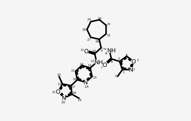 Cc1nocc1C(=O)N[C@H](C(=O)Nc1ccc(-c2c(C)noc2C)nc1)C1CCCCCC1